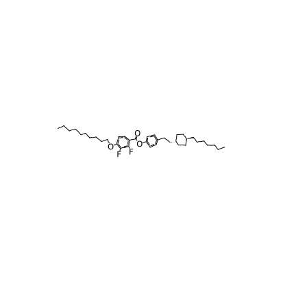 CCCCCCCCCCOc1ccc(C(=O)Oc2ccc(CC[C@H]3CC[C@H](CCCCCCC)CC3)cc2)c(F)c1F